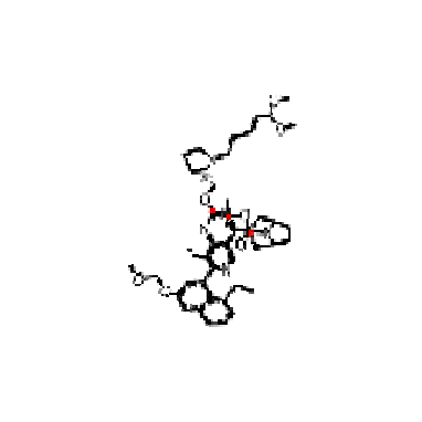 CCc1cccc2cc(OCOC)cc(-c3ncc4c(N5CC6CCC(C5)N6C(=O)OC(C)(C)C)nc(OC[C@@H]5CCCN5CCCCC(OC)OC)nc4c3F)c12